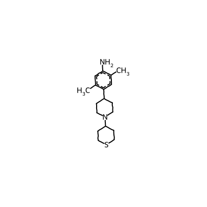 Cc1cc(C2CCN(C3CCSCC3)CC2)c(C)cc1N